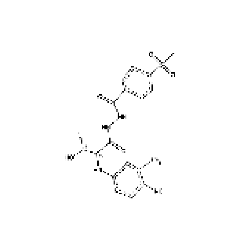 [C-]#[N+]c1ccc(N[C@@H](C(=O)NNC(=O)c2ccc(S(C)(=O)=O)cc2)[C@@H](C)O)cc1C(F)(F)F